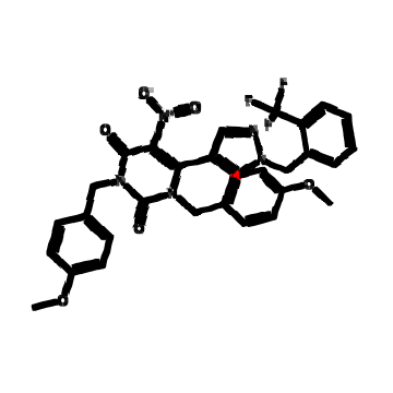 COc1ccc(Cn2c(-c3cnn(Cc4ccccc4C(F)(F)F)c3)c([N+](=O)[O-])c(=O)n(Cc3ccc(OC)cc3)c2=O)cc1